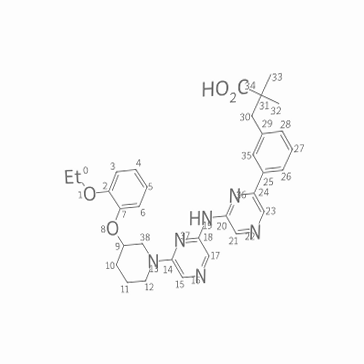 CCOc1ccccc1OC1CCCN(c2cncc(Nc3cncc(-c4cccc(CC(C)(C)C(=O)O)c4)n3)n2)C1